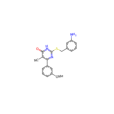 COc1cccc(-c2nc(SCc3cccc(N)c3)[nH]c(=O)c2C#N)c1